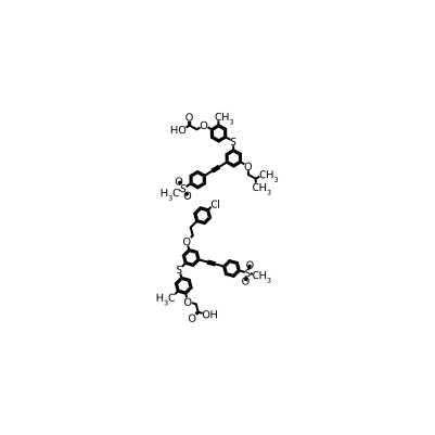 Cc1cc(Sc2cc(C#Cc3ccc(S(C)(=O)=O)cc3)cc(OCC(C)C)c2)ccc1OCC(=O)O.Cc1cc(Sc2cc(C#Cc3ccc(S(C)(=O)=O)cc3)cc(OCCc3ccc(Cl)cc3)c2)ccc1OCC(=O)O